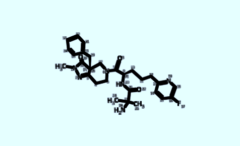 CN1N=C2CCN(C(=O)[C@@H](CCCc3ccc(F)cn3)NC(=O)C(C)(C)N)C[C@@]2(Cc2ccccc2)C1=O